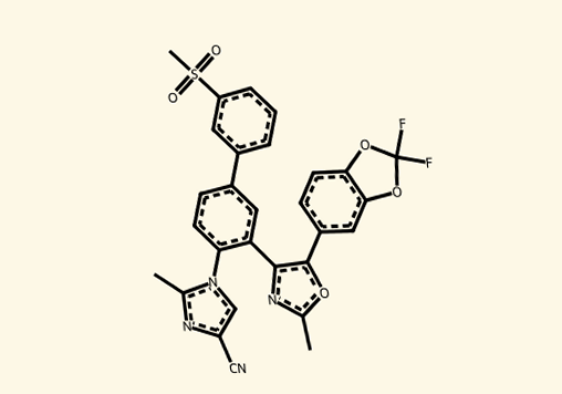 Cc1nc(-c2cc(-c3cccc(S(C)(=O)=O)c3)ccc2-n2cc(C#N)nc2C)c(-c2ccc3c(c2)OC(F)(F)O3)o1